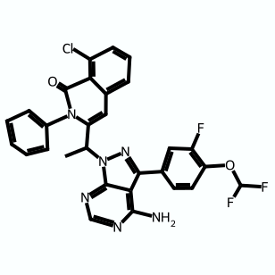 CC(c1cc2cccc(Cl)c2c(=O)n1-c1ccccc1)n1nc(-c2ccc(OC(F)F)c(F)c2)c2c(N)ncnc21